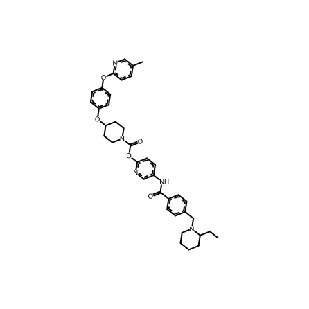 CCC1CCCCN1Cc1ccc(C(=O)Nc2ccc(OC(=O)N3CCC(Oc4ccc(Oc5ccc(C)cn5)cc4)CC3)nc2)cc1